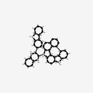 c1cc2c3c(c1)ccc1c3c3c4c(ccc3n1-c1nc3ccccc3nc1-c1ccc3c(c1)sc1ccccc13)oc1cccc-2c14